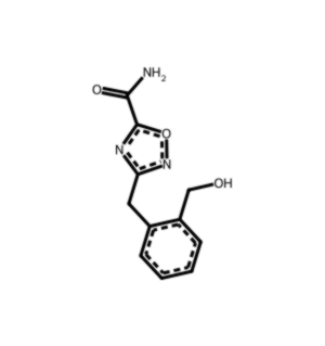 NC(=O)c1nc(Cc2ccccc2CO)no1